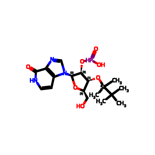 CC(C)(C)[Si](C)(C)O[C@H]1[C@@H](O[PH](=O)O)[C@H](n2cnc3c(=O)[nH]ccc32)O[C@@H]1CO